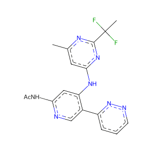 CC(=O)Nc1cc(Nc2cc(C)nc(C(C)(F)F)n2)c(-c2cccnn2)cn1